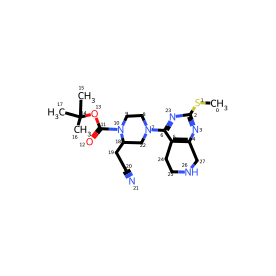 CSc1nc2c(c(N3CCN(C(=O)OC(C)(C)C)C(CC#N)C3)n1)CCNC2